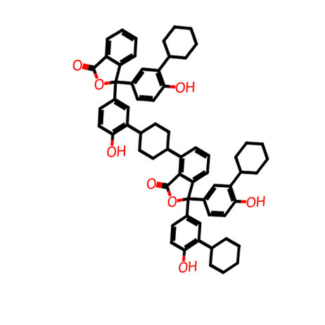 O=C1OC(c2ccc(O)c(C3CCCCC3)c2)(c2ccc(O)c(C3CCC(c4cccc5c4C(=O)OC5(c4ccc(O)c(C5CCCCC5)c4)c4ccc(O)c(C5CCCCC5)c4)CC3)c2)c2ccccc21